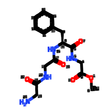 CC(C)(C)OC(=O)CNC(=O)[C@H](Cc1ccccc1)NC(=O)CNC(=O)CN